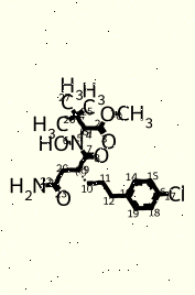 COC(=O)[C@@H](N(O)C(=O)[C@H](CCCc1ccc(Cl)cc1)CC(N)=O)C(C)(C)C